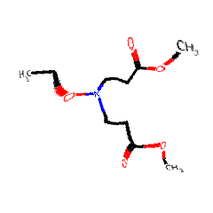 CCON(CCC(=O)OC)CCC(=O)OC